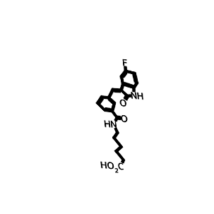 O=C(O)CCCCCNC(=O)c1cccc(/C=C2\C(=O)Nc3ccc(F)cc32)c1